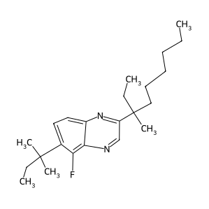 CCCCCCC(C)(CC)c1cnc2c(F)c(C(C)(C)CC)ccc2n1